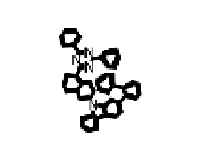 c1ccc(-c2nc(-c3ccccc3)nc(-c3cccc4cc(-n5c6ccccc6c6ccc(-c7ccccc7-c7ccccc7)cc65)ccc34)n2)cc1